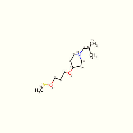 CSOCCCOC1CCN(CC(C)C)CC1